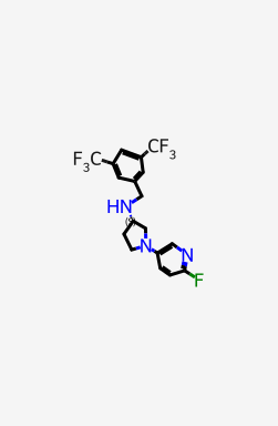 Fc1ccc(N2CC[C@H](NCc3cc(C(F)(F)F)cc(C(F)(F)F)c3)C2)cn1